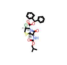 CC(C)COC(=O)N[C@@H]1C(=O)N2[C@@H](C(=O)OC(c3ccccc3)c3ccccc3)[C@](C)(Cl)CS[C@@H]12